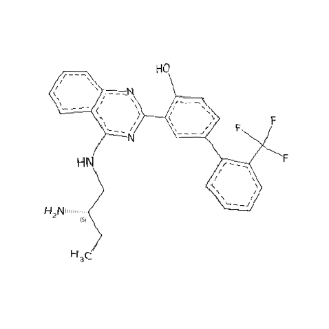 CC[C@H](N)CNc1nc(-c2cc(-c3ccccc3C(F)(F)F)ccc2O)nc2ccccc12